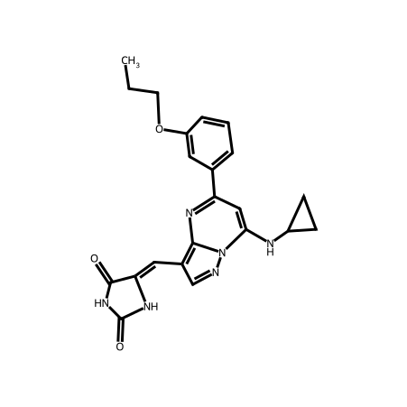 CCCOc1cccc(-c2cc(NC3CC3)n3ncc(/C=C4\NC(=O)NC4=O)c3n2)c1